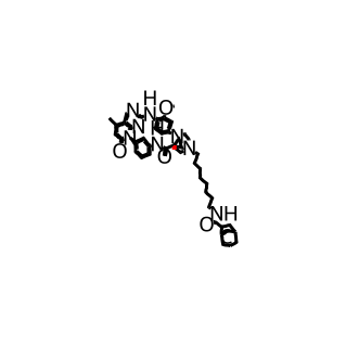 COc1cc(N2CCN(CCCCCCCCNC(=O)C34CC5CC(CC3C5)C4)CC2)ccc1Nc1ncc2c(C)cc(=O)n(-c3cccc(NC(=O)C4CC4)c3)c2n1